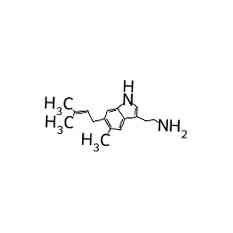 CC(C)=CCc1cc2[nH]cc(CCN)c2cc1C